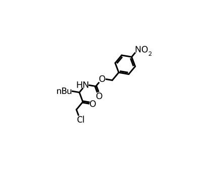 CCCCC(NC(=O)OCc1ccc([N+](=O)[O-])cc1)C(=O)CCl